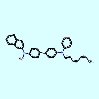 C\C=C/C=C\C=C\N(c1ccccc1)c1ccc(-c2ccc(N(C)c3ccc4ccccc4c3)cc2)cc1